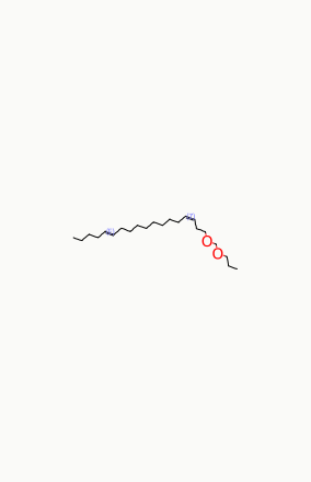 CCCC/C=C/CCCCCCCC/C=C\CCOCOCCC